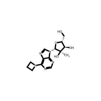 C[C@@]1(O)[C@H](O)[C@@H](CO)O[C@H]1n1cnc2c(N3CCC3)ncnc21